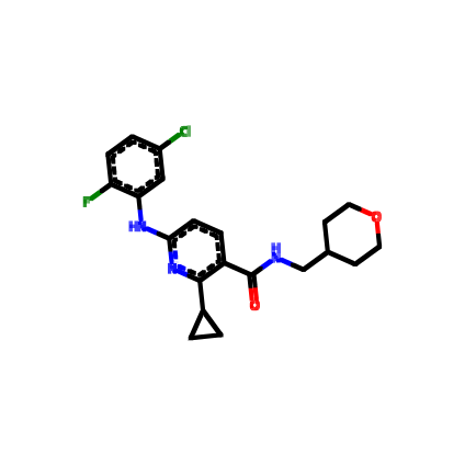 O=C(NCC1CCOCC1)c1ccc(Nc2cc(Cl)ccc2F)nc1C1CC1